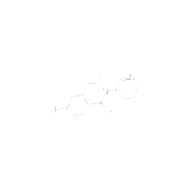 CC1Cc2cc(Cl)ccc2C(=O)N1c1cccnc1